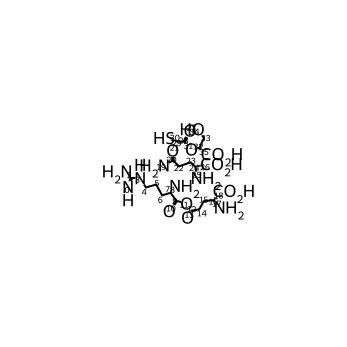 N=C(N)NCCC[C@H](N)C(=O)OC(=O)CC[C@H](N)C(=O)O.NC(=O)CC[C@H](N)C(=O)O.O=C(CS)OC(CO)C(=O)O